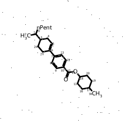 CCCCCC(C)C1CC=C(c2ccc(C(=O)OC3CCC(C)CC3)cc2)CC1